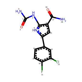 NC(=O)Nc1[nH]c(-c2ccc(F)c(Cl)c2)cc1C(N)=O